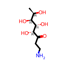 C[C@@H](O)[C@H](O)[C@H](O)[C@@H](O)C(=O)CCN